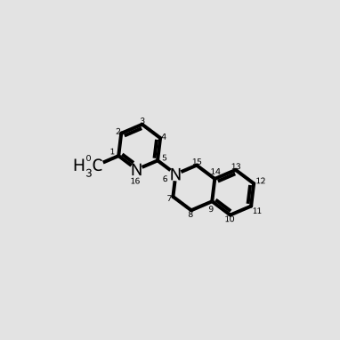 Cc1cccc(N2CCc3ccccc3C2)n1